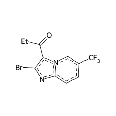 CCC(=O)c1c(Br)nc2ccc(C(F)(F)F)cn12